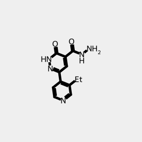 CCc1cnccc1-c1cc(C(=O)NN)c(=O)[nH]n1